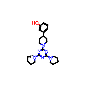 Oc1cccc(C2CCN(c3nc(N4CCCCC4)nc(N4CCCCC4)n3)CC2)c1